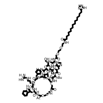 CCCC[C@H](NC(=O)[C@H](Cc1c[nH]cn1)NC(=O)[C@H](CCC(N)=O)NC(=O)[C@H](CO)NC(=O)CNC(=O)COCCOCCNC(=O)CCCCCCCCCCCCCCCc1nnn[nH]1)C(=O)N[C@H]1CCC(=O)NCCCC[C@@H](C(C)=O)NC(=O)[C@H](Cc2c[nH]c3ccccc23)NC(=O)[C@H](CCCNC(=N)N)NC(=O)[C@@H](Cc2ccccc2)NC(=O)[C@@H]2C[C@@H](O)CN2C1=O